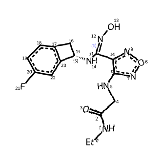 CCNC(=O)CNc1nonc1/C(=N\O)N[C@H]1Cc2ccc(F)cc21